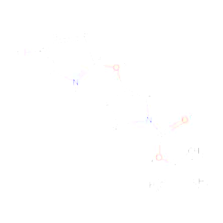 CC(C)(C)OC(=O)N1C=C(Oc2ccc(I)cn2)CC1